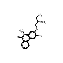 Cn1c(=O)c2cnccc2c2cc(Br)c(OCC(N)CC(F)(F)F)cc21